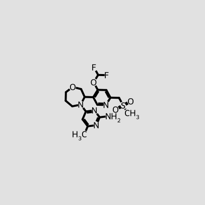 Cc1cc(N2CCCOCC2c2cnc(CS(C)(=O)=O)cc2OC(F)F)nc(N)n1